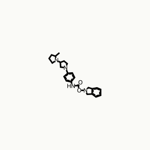 CC1CCCN1C1CCN(c2ccc(NC(=O)ON3Cc4ccccc4C3)cc2)C1